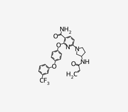 C=CC(=O)NC1CCN(c2ccc(C(N)=O)c(Oc3ccc(Oc4cccc(C(F)(F)F)c4)cc3)n2)C1